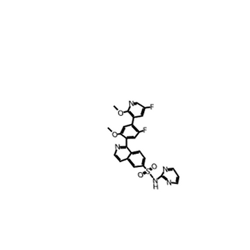 COc1cc(-c2cc(F)cnc2OC)c(F)cc1-c1nccc2cc(S(=O)(=O)Nc3ncccn3)ccc12